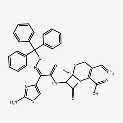 C=CC1=C(C(=O)O)N2C(=O)C(NC(=O)/C(=N\OC(c3ccccc3)(c3ccccc3)c3ccccc3)c3csc(N)n3)[C@H]2SC1